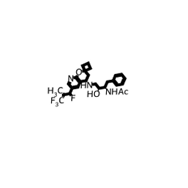 CC(=O)N[C@@H](Cc1ccccc1)[C@H](O)CN[C@H]1CC2(CCC2)Oc2ncc(C(F)C(C)C(F)(F)F)cc21